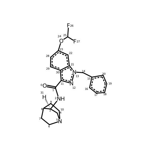 O=C(N[C@H]1CN2CCC1CC2)c1nn(Cc2ccccc2)c2cc(OC(F)F)ccc12